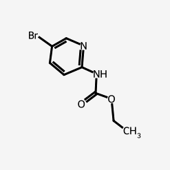 CCOC(=O)Nc1ccc(Br)cn1